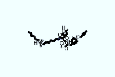 CC#CCOc1ccc(C[C@H](NC(=O)[C@@H](/C=C/CCCCCCS(=O)(=O)NCCCCCC)[C@@](O)(CCC)C(=O)O)C(=O)OC)cc1